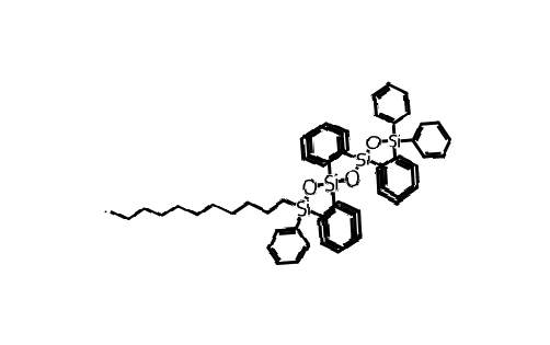 [CH2]CCCCCCCCCC[Si](O[Si](O[Si](O[Si](c1ccccc1)(c1ccccc1)c1ccccc1)(c1ccccc1)c1ccccc1)(c1ccccc1)c1ccccc1)(c1ccccc1)c1ccccc1